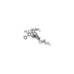 C=CC(=O)N1CCCC(n2cc(Nc3ncc(C(N)=O)c(Nc4c(C)cc(-c5ccccc5)cc4OC)n3)cn2)C1